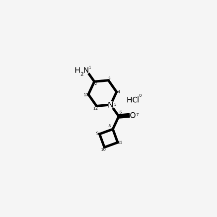 Cl.NC1CCN(C(=O)C2CCC2)CC1